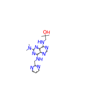 CN(C)c1nc(NCc2ncccn2)c2ncnc(NCC(C)(C)O)c2n1